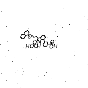 O=C(O)Oc1[nH]c2c(-c3cccc(C(=O)O)c3)cccc2c1CCCOc1cccc2ccccc12